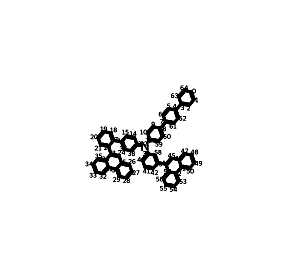 c1ccc(-c2ccc(-c3ccc(N(c4ccc(-c5ccccc5-c5cc6ccccc6c6ccccc56)cc4)c4cccc(-c5cc6ccccc6c6ccccc56)c4)cc3)cc2)cc1